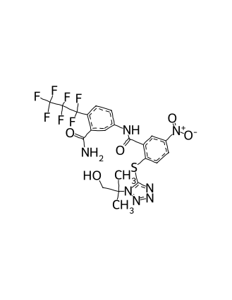 CC(C)(CO)n1nnnc1Sc1ccc([N+](=O)[O-])cc1C(=O)Nc1ccc(C(F)(F)C(F)(F)C(F)(F)F)c(C(N)=O)c1